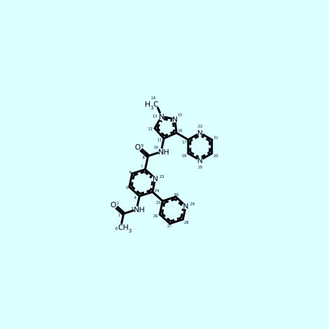 CC(=O)Nc1ccc(C(=O)Nc2cn(C)nc2-c2cnccn2)nc1-c1cccnc1